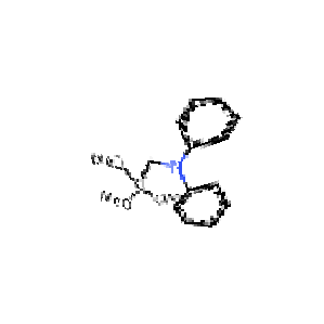 CO[Si](CN(c1ccccc1)c1ccccc1)(OC)OC